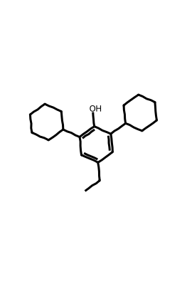 CCc1cc(C2CCCCC2)c(O)c(C2CCCCC2)c1